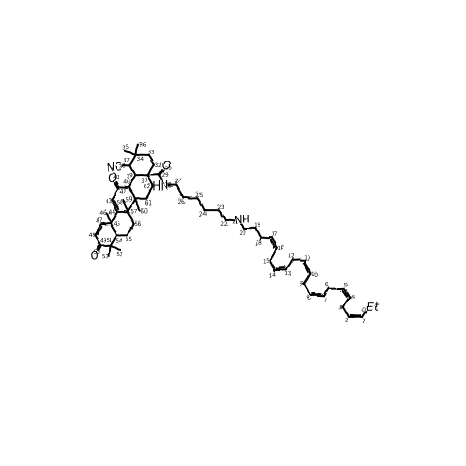 CC/C=C\C/C=C\C/C=C\C/C=C\C/C=C\C/C=C\CCCNCCCCCCNC(=O)C12CCC(C)(C)C(C#N)C1C1C(=O)C=C3C4(C)C=CC(=O)C(C)(C)C4CCC3(C)C1(C)CC2